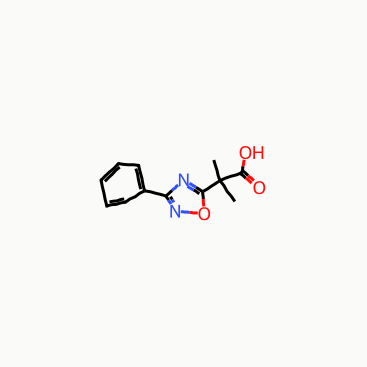 CC(C)(C(=O)O)c1nc(-c2ccccc2)no1